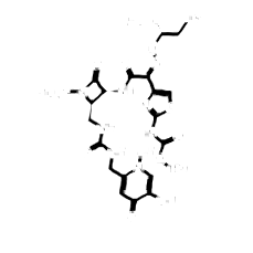 CC(C)C[C@H](O/N=C(\C(=O)N[C@@H]1C(=O)N(S(=O)(=O)O)[C@@H]1CNC(=O)NCc1cc(=O)c(O)cn1O)c1csc(NC(=O)OC(C)(C)C)n1)C(=O)O